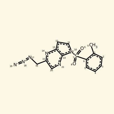 Cc1ccccc1S(=O)(=O)n1ccc2nc(CN=[N+]=[N-])cnc21